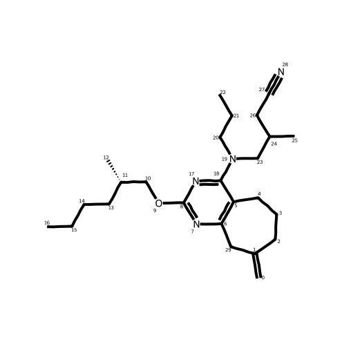 C=C1CCCc2c(nc(OC[C@@H](C)CCCC)nc2N(CCC)CC(C)CC#N)C1